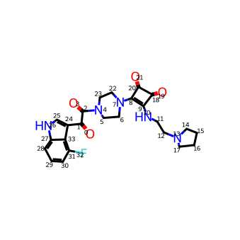 O=C(C(=O)N1CCN(c2c(NCCN3CCCC3)c(=O)c2=O)CC1)c1c[nH]c2cccc(F)c12